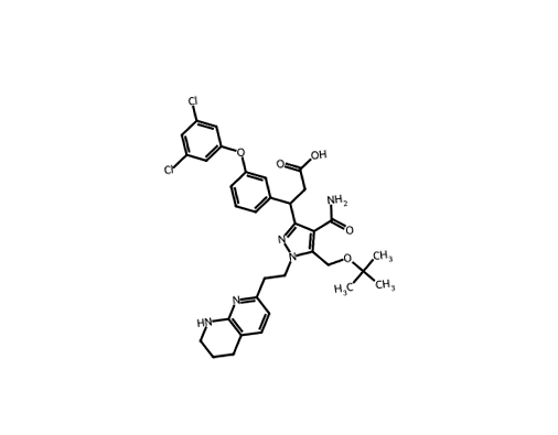 CC(C)(C)OCc1c(C(N)=O)c(C(CC(=O)O)c2cccc(Oc3cc(Cl)cc(Cl)c3)c2)nn1CCc1ccc2c(n1)NCCC2